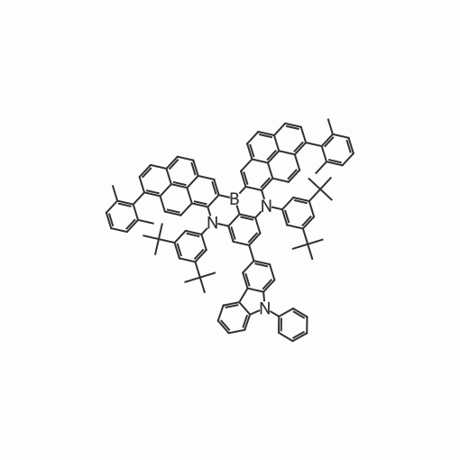 Cc1cccc(C)c1-c1ccc2ccc3cc4c(c5ccc1c2c35)N(c1cc(C(C)(C)C)cc(C(C)(C)C)c1)c1cc(-c2ccc3c(c2)c2ccccc2n3-c2ccccc2)cc2c1B4c1cc3ccc4ccc(-c5c(C)cccc5C)c5ccc(c1N2c1cc(C(C)(C)C)cc(C(C)(C)C)c1)c3c45